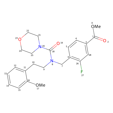 COC(=O)c1ccc(CN(CCc2ccccc2OC)C(=O)N2CCOCC2)c(F)c1